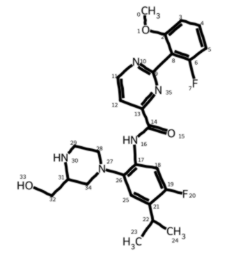 COc1cccc(F)c1-c1nccc(C(=O)Nc2cc(F)c(C(C)C)cc2N2CCNC(CO)C2)n1